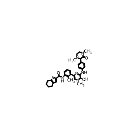 Cc1c(NC(=O)c2cc3c(s2)CCCC3)cccc1C1=CN(C)C(O)C(Nc2ccc(C3C(=O)N(C)CCN3C)cc2)=N1